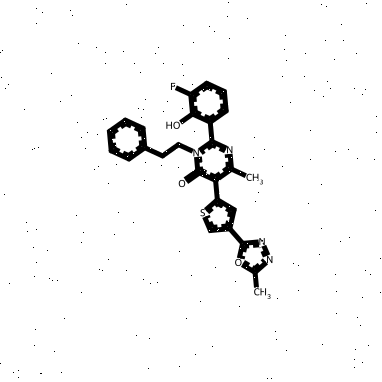 Cc1nnc(-c2csc(-c3c(C)nc(-c4cccc(F)c4O)n(CCc4ccccc4)c3=O)c2)o1